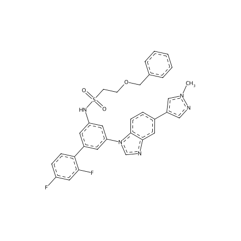 Cn1cc(-c2ccc3c(c2)ncn3-c2cc(NS(=O)(=O)CCOCc3ccccc3)cc(-c3ccc(F)cc3F)c2)cn1